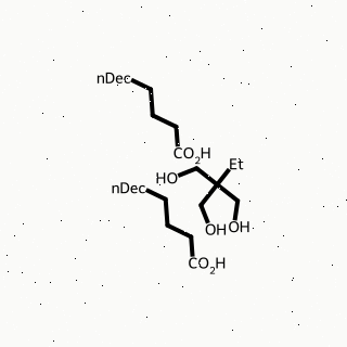 CCC(CO)(CO)CO.CCCCCCCCCCCCCC(=O)O.CCCCCCCCCCCCCC(=O)O